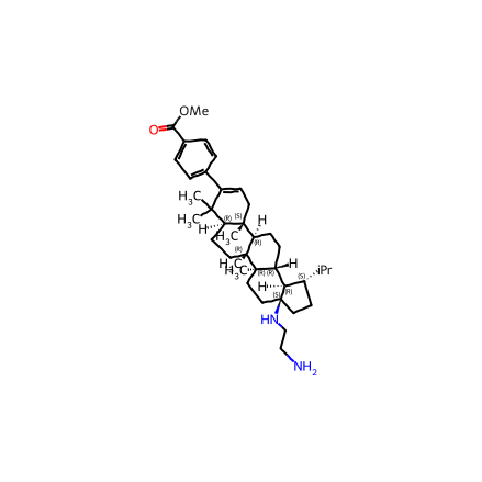 COC(=O)c1ccc(C2=CC[C@]3(C)[C@H]4CC[C@@H]5[C@H]6[C@H](C(C)C)CC[C@]6(NCCN)CC[C@@]5(C)[C@]4(C)CC[C@H]3C2(C)C)cc1